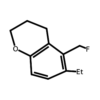 CCc1ccc2c(c1CF)CCCO2